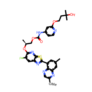 COc1cnc2c(-c3nc4cc(F)c(O[C@@H](C)COC(=O)Nc5ccnc(OCCC(C)(C)O)c5)nc4s3)cc(C)cc2n1